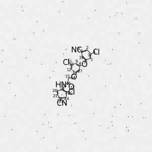 N#Cc1cc(Cl)cc(Oc2cc(Cl)cc(OCC(=O)Nc3ccc(C#N)cc3Cl)c2)c1